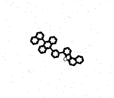 c1cc(-c2c3ccccc3c(-c3cccc4ccccc34)c3ccccc23)cc(-c2cccc3c2oc2ccc4ccccc4c23)c1